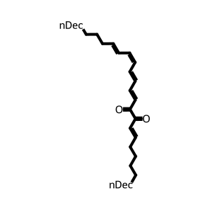 CCCCCCCCCCCCC/C=C/C=C\C=C\C=C\C(=O)C(=O)/C=C/CCCCCCCCCCCCCC